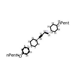 CCCCCOc1ccc([C@H]2CC[C@H](C#C/C=C/[C@H]3CC[C@H](CCCCC)CC3)CC2)cc1